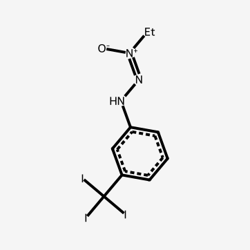 CC[N+]([O-])=NNc1cccc(C(I)(I)I)c1